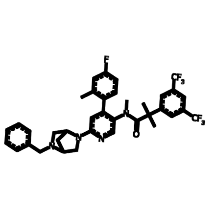 Cc1cc(F)ccc1-c1cc(N2CC3CC2CN3Cc2ccccc2)ncc1N(C)C(=O)C(C)(C)c1cc(C(F)(F)F)cc(C(F)(F)F)c1